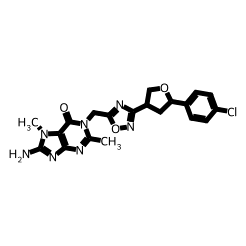 Cc1nc2nc(N)n(C)c2c(=O)n1Cc1nc(C2COC(c3ccc(Cl)cc3)C2)no1